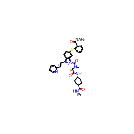 CNC(=O)c1ccccc1Sc1ccc2c(/C=C/c3ccccn3)nn(C(=O)N(C)[C@@H](C)C(=O)N[C@H]3CC[C@H](C(=O)NC(C)C)CC3)c2c1